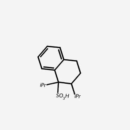 CC(C)C1CCc2ccccc2C1(C(C)C)S(=O)(=O)O